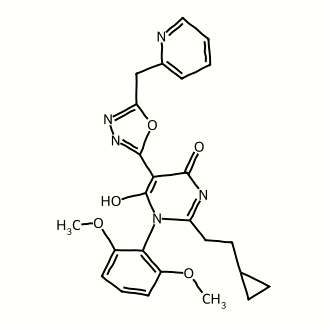 COc1cccc(OC)c1-n1c(CCC2CC2)nc(=O)c(-c2nnc(Cc3ccccn3)o2)c1O